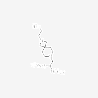 CCCCCCC(CCCCC)CN1CCC2(CC1)CN(CCC(C)CC)C2